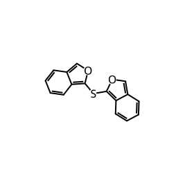 c1ccc2c(Sc3occ4ccccc34)occ2c1